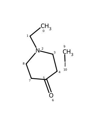 CCN1CCC(=O)CC1.CI